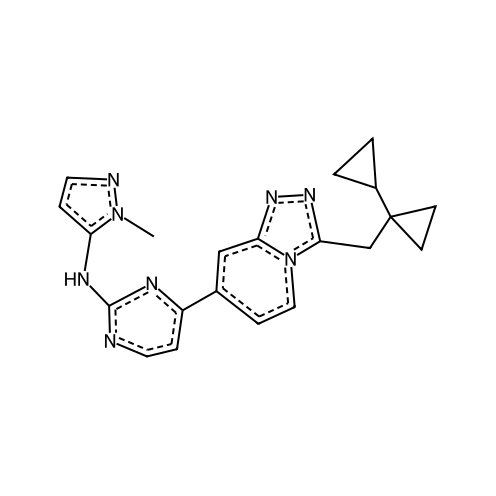 Cn1nccc1Nc1nccc(-c2ccn3c(CC4(C5CC5)CC4)nnc3c2)n1